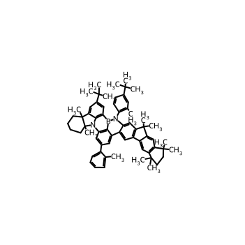 Cc1ccccc1-c1cc2c3c(c1)N1c4c(cc(C(C)(C)C)cc4C4(C)CCCCC14C)B3N(c1ccc(C(C)(C)C)cc1C)c1cc3c(cc1-2)-c1cc2c(cc1C3(C)C)C(C)(C)CCC2(C)C